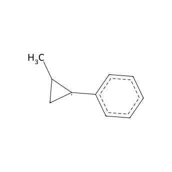 CC1C[C]1c1ccccc1